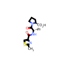 Cc1nc(C(=O)N[C@H](C(=O)N2CCC[C@H]2C(=O)O)C(C)C)cs1